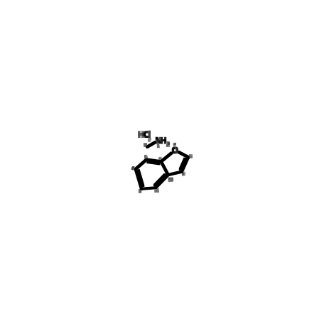 CN.Cl.c1ccc2occc2c1